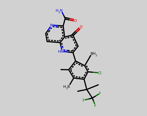 Bc1c(Cl)c(C(C)(C)C(F)(F)F)c(B)c(C)c1-c1cc(=O)c2c(C(N)=O)nccc2[nH]1